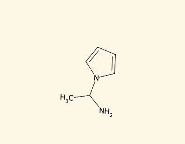 CC(N)n1cccc1